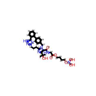 CCCc1nc(C(C)(C)O)c(C(=O)NCC(=O)OCCCCON(O)O)n1Cc1ccc(-c2ccccc2-c2nnn[nH]2)cc1